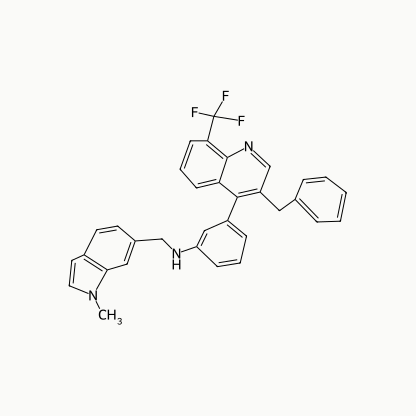 Cn1ccc2ccc(CNc3cccc(-c4c(Cc5ccccc5)cnc5c(C(F)(F)F)cccc45)c3)cc21